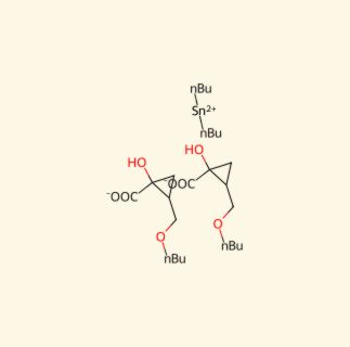 CCCCOCC1CC1(O)C(=O)[O-].CCCCOCC1CC1(O)C(=O)[O-].CCC[CH2][Sn+2][CH2]CCC